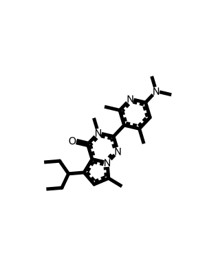 CCC(CC)c1cc(C)n2nc(-c3c(C)cc(N(C)C)nc3C)n(C)c(=O)c12